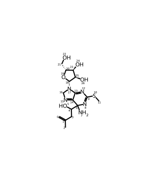 C=C(C)CC(O)C1(N)N=C(SC)N=C2C1=NCN2[C@@H]1O[C@H](CO)[C@@H](O)[C@H]1O